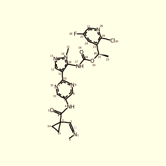 C/N=C\C1(C(=O)Nc2cnc(-c3cnn(C)c3NC(=O)O[C@H](C)c3cc(F)cnc3Cl)nc2)CC1